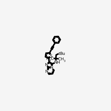 CC(C)(C)CC(C)(C)Nc1c(-c2ccc(C#Cc3ccccc3)s2)nc2ncccn12